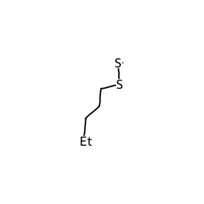 CCCCCS[S]